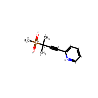 CC(C)(C#Cc1ccccn1)S(C)(=O)=O